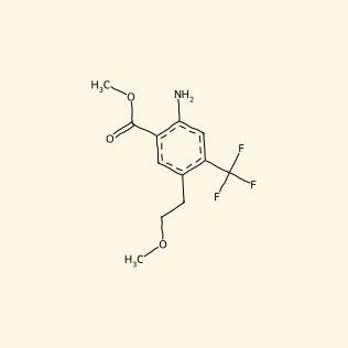 COCCc1cc(C(=O)OC)c(N)cc1C(F)(F)F